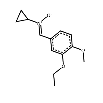 CCOc1cc(C=[N+]([O-])C2CC2)ccc1OC